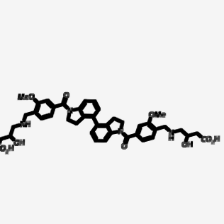 COc1cc(C(=O)N2CCc3c(-c4cccc5c4CCN5C(=O)c4ccc(CNCC(O)CC(=O)O)c(OC)c4)cccc32)ccc1CNCC(O)CC(=O)O